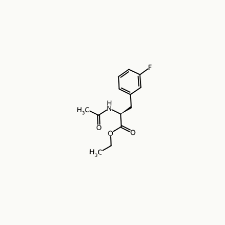 CCOC(=O)[C@H](Cc1cccc(F)c1)NC(C)=O